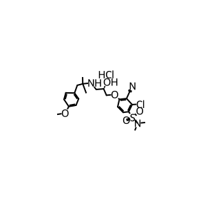 COc1ccc(CC(C)(C)NC[C@@H](O)COc2ccc(S(=O)(=O)N(C)C)c(Cl)c2C#N)cc1.Cl